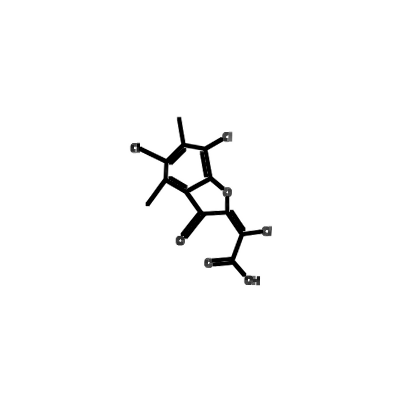 Cc1c(Cl)c(C)c2c(c1Cl)OC(=C(Cl)C(=O)O)C2=O